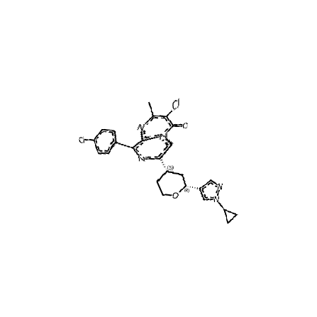 Cc1nc2c(-c3ccc(Cl)cc3)nc([C@H]3CCO[C@@H](c4cnn(C5CC5)c4)C3)cn2c(=O)c1Cl